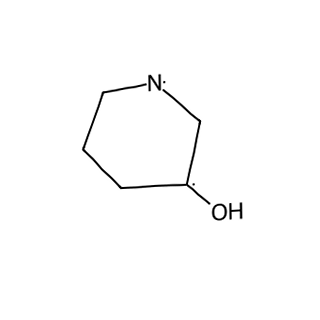 O[C]1CCC[N]C1